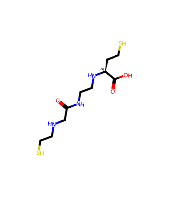 O=C(CNCCS)NCCN[C@@H](CCS)C(=O)O